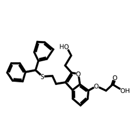 O=C(O)COc1cccc2c(CCSC(c3ccccc3)c3ccccc3)c(CCO)oc12